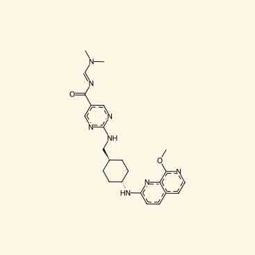 COc1nccc2ccc(N[C@H]3CC[C@H](CNc4ncc(C(=O)/N=C/N(C)C)cn4)CC3)nc12